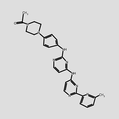 CC(=O)N1CCN(c2ccc(Nc3nccc(Nc4ccnc(-c5cccc(C)n5)n4)n3)cc2)CC1